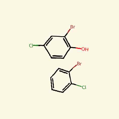 Clc1ccccc1Br.Oc1ccc(Cl)cc1Br